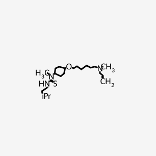 C=CCN(C)CCCCCCOC1CCC(N(C)C(=S)NCCC(C)C)CC1